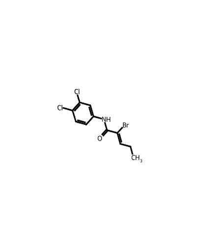 CCC=C(Br)C(=O)Nc1ccc(Cl)c(Cl)c1